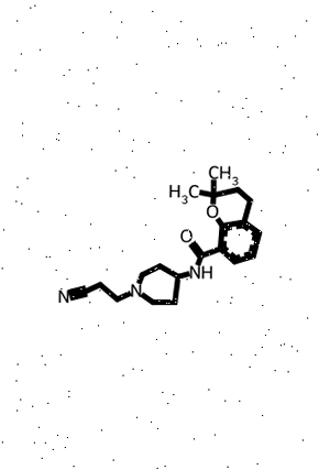 CC1(C)CCc2cccc(C(=O)NC3CCN(CCC#N)CC3)c2O1